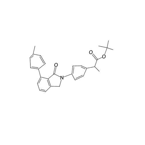 Cc1ccc(-c2cccc3c2C(=O)N(c2ccc(C(C)C(=O)OC(C)(C)C)cc2)C3)cc1